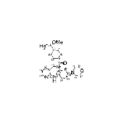 CO[C@@H](C)[C@H]1CC[C@H](C(=O)N2Cc3cccnc3Nc3ccc(N4CCOCC4)cc32)CC1